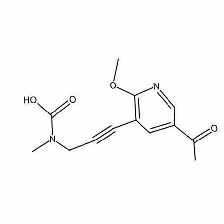 COc1ncc(C(C)=O)cc1C#CCN(C)C(=O)O